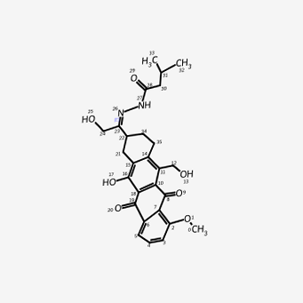 COc1cccc2c1C(=O)c1c(CO)c3c(c(O)c1C2=O)CC(/C(CO)=N\NC(=O)CC(C)C)CC3